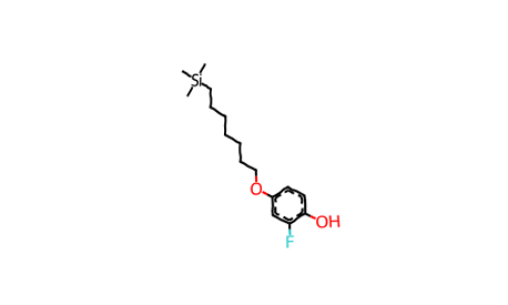 C[Si](C)(C)CCCCCCCOc1ccc(O)c(F)c1